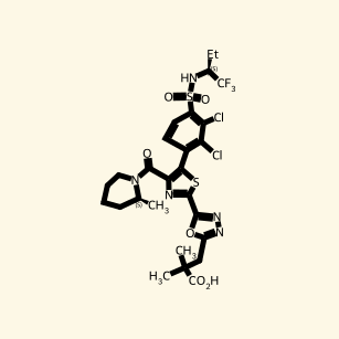 CC[C@H](NS(=O)(=O)c1ccc(-c2sc(-c3nnc(CC(C)(C)C(=O)O)o3)nc2C(=O)N2CCCC[C@@H]2C)c(Cl)c1Cl)C(F)(F)F